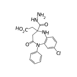 NNC(=O)C1(CC(=O)O)CC(=O)N(c2ccccc2)c2cc(Cl)ccc2N1